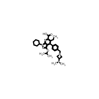 CCc1c(C(=O)O)nc2c(c(OC(C)C)nn2C2CCCCC2)c1-c1ccc(CN2CC(N(C)C)C2)cc1